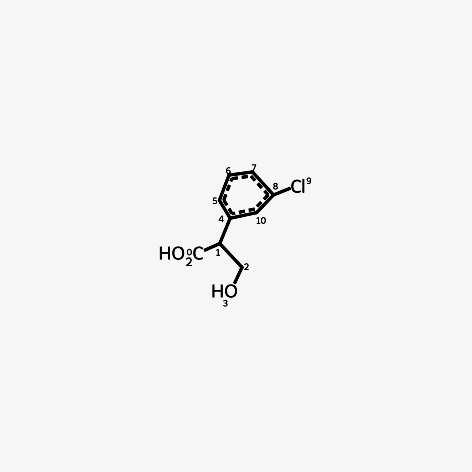 O=C(O)C(CO)c1cccc(Cl)c1